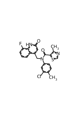 Cc1ccc(N(Cc2cc(=O)[nH]c3c(F)cccc23)C(=O)c2scnc2C)cc1Cl